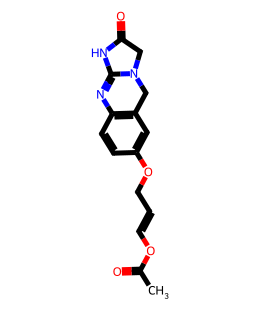 CC(=O)OC=CCOc1ccc2c(c1)CN1CC(=O)NC1=N2